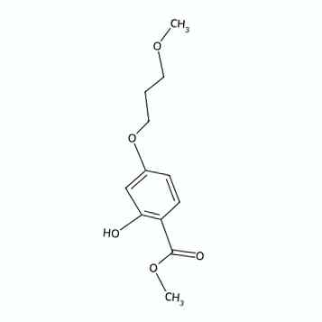 COCCCOc1ccc(C(=O)OC)c(O)c1